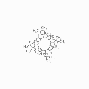 Cc1cc(C)c(C2c3cc(c(I)cc3C)C(c3cc(C)c(C)cc3C)c3cc(c(O)cc3O)C(c3cc(C)c(C)cc3C)c3cc(c(O)cc3O)C(c3cc(C)c(C)cc3C)c3cc2c(O)cc3O)cc1C